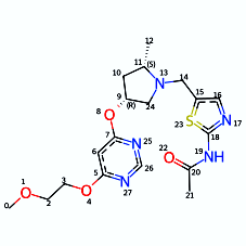 COCCOc1cc(O[C@@H]2C[C@H](C)N(Cc3cnc(NC(C)=O)s3)C2)ncn1